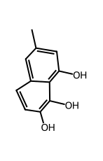 Cc1cc(O)c2c(O)c(O)ccc2c1